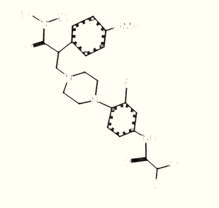 CCC(CC)C(=O)Nc1ccc(N2CCN(CC(C(=O)N(CC)CC)c3ccc(OC)cc3)CC2)c(F)c1